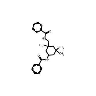 CC1(C)CC(NC(=O)c2ccccc2)CC(C)(CNC(=O)c2ccccc2)C1